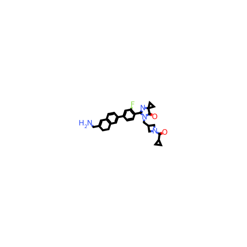 NCC1=Cc2ccc(-c3ccc(C4=NC5(CC5)C(=O)N4CC4CN(C(=O)C5CC5)C4)c(F)c3)cc2CC1